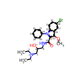 CCN(CC)CC(O)CNC(=O)c1c(OC)c2cc(Br)ccc2n1-c1ccccc1